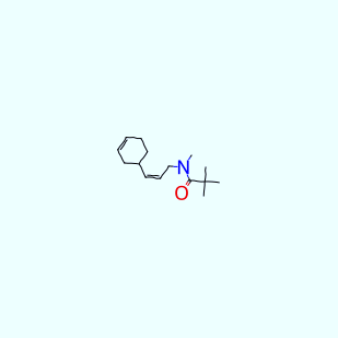 CN(C/C=C\C1CC=CCC1)C(=O)C(C)(C)C